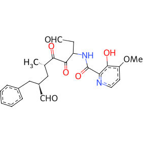 COc1ccnc(C(=O)NC(CC=O)C(=O)C(=O)[C@@H](C)C[C@@H](C=O)Cc2ccccc2)c1O